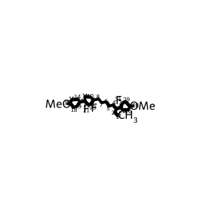 C\C=C/C(=C\C=C\CCc1ccc(-c2ccc(OC)cc2)c(F)c1F)c1ccc(OC)cc1F